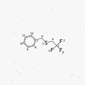 FC(F)(F)CSCc1ccccc1